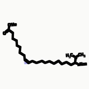 CCCCCCCCCC(CCCCCCCCCC/C=C\CCCCCCCC(=O)OC)N(C)C